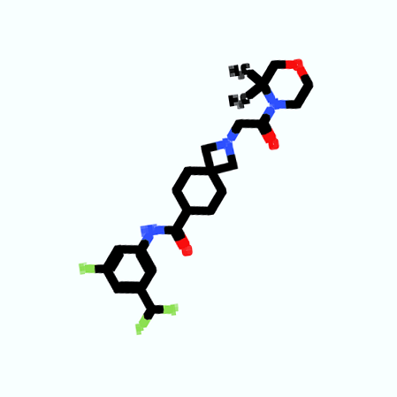 CC1(C)COCCN1C(=O)CN1CC2(CCC(C(=O)Nc3cc(F)cc(C(F)F)c3)CC2)C1